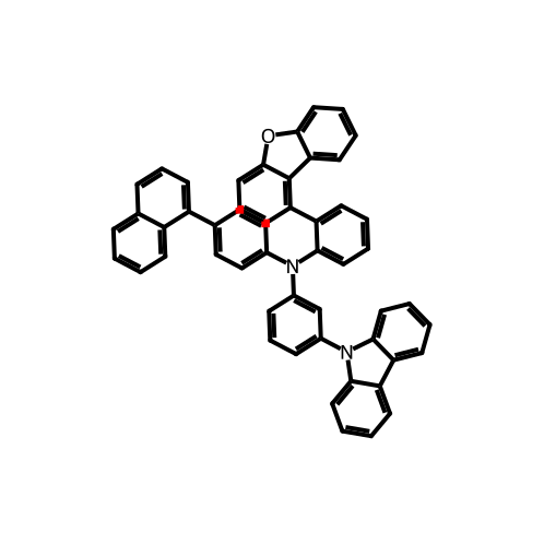 c1cc(N(c2ccc(-c3cccc4ccccc34)cc2)c2ccccc2-c2cccc3oc4ccccc4c23)cc(-n2c3ccccc3c3ccccc32)c1